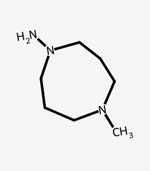 CN1CCCN(N)CCC1